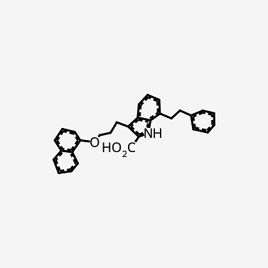 O=C(O)c1[nH]c2c(CCc3ccccc3)cccc2c1CCCOc1cccc2ccccc12